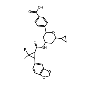 O=C(O)c1ccc(C2CC(NC(=O)C3C(c4ccc5c(c4)OCO5)C3(F)F)CC(C3CC3)O2)cc1